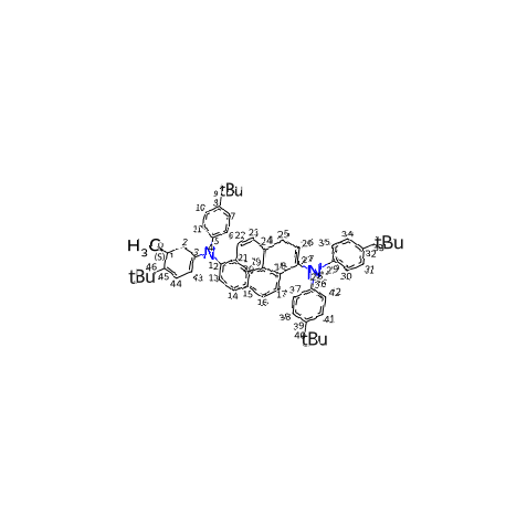 C[C@H]1CC(N(c2ccc(C(C)(C)C)cc2)c2ccc3ccc4c5c3c2C=CC5CC=C4N(c2ccc(C(C)(C)C)cc2)c2ccc(C(C)(C)C)cc2)=CC=C1C(C)(C)C